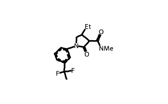 CCC1CN(c2cccc(C(C)(F)F)c2)C(=O)C1C(=O)NC